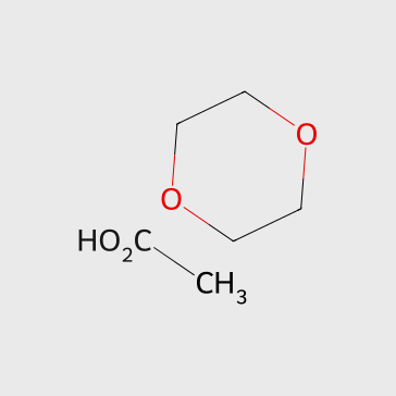 C1COCCO1.CC(=O)O